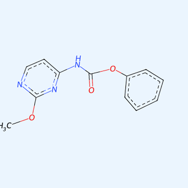 COc1nccc(NC(=O)Oc2ccccc2)n1